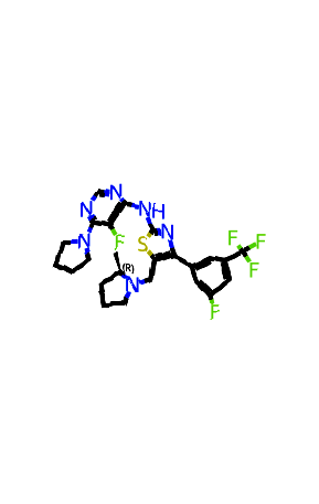 C[C@@H]1CCCN1Cc1sc(Nc2ncnc(N3CCCC3)c2F)nc1-c1cc(F)cc(C(F)(F)F)c1